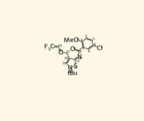 COc1ccc(Cl)cc1C(=O)N=c1sn(C(C)(C)C)cc1COCC(F)(F)F